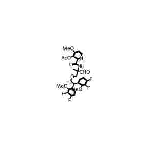 COc1ccnc(C(=O)N[C@](C)(C=O)CO[C@@H](C)C(c2ccc(F)c(F)c2OC)c2ccc(F)c(F)c2OC)c1OC(C)=O